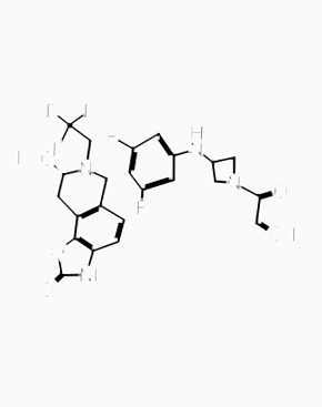 C=CC(=O)N1CC(Nc2cc(F)c([C@@H]3c4ccc5[nH]c(=O)oc5c4C[C@@H](C)N3CC(F)(F)F)c(F)c2)C1